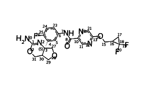 NC1=N[C@@]2(c3cc(NC(=O)c4cnc(OCC5CC5(F)F)cn4)ccc3F)COCC2CO1